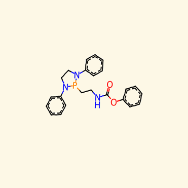 O=C(NCCP1N(c2ccccc2)CCN1c1ccccc1)Oc1ccccc1